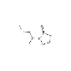 COCC(C)N1OC[CH]C1=O